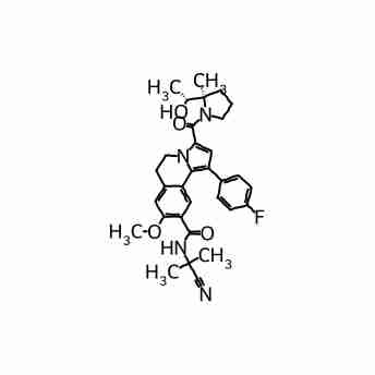 COc1cc2c(cc1C(=O)NC(C)(C)C#N)-c1c(-c3ccc(F)cc3)cc(C(=O)N3CCC[C@]3(C)[C@@H](C)O)n1CC2